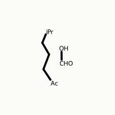 CC(=O)CCCC(C)C.O=CO